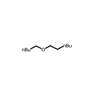 CCCCC[CH]OCCCCC